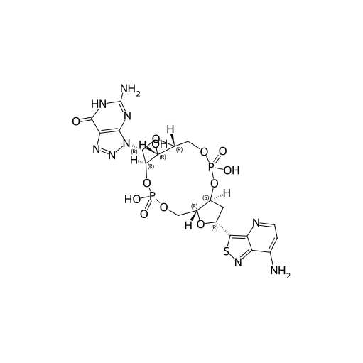 Nc1nc2c(nnn2[C@@H]2O[C@@H]3COP(=O)(O)O[C@H]4C[C@H](c5snc6c(N)ccnc56)O[C@@H]4COP(=O)(O)O[C@@H]2[C@@H]3O)c(=O)[nH]1